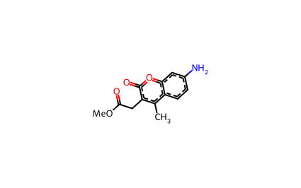 COC(=O)Cc1c(C)c2ccc(N)cc2oc1=O